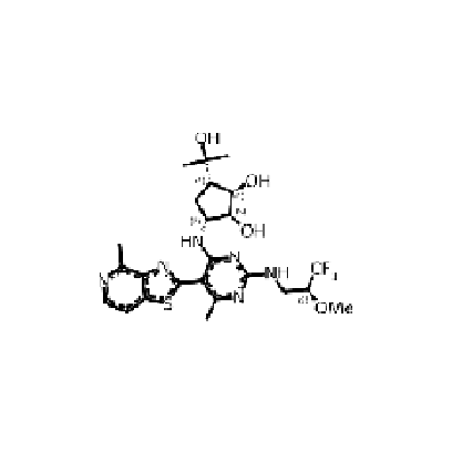 CO[C@@H](CNc1nc(C)c(-c2nc3c(C)nccc3s2)c(N[C@@H]2C[C@H](C(C)(C)O)[C@@H](O)[C@H]2O)n1)C(F)(F)F